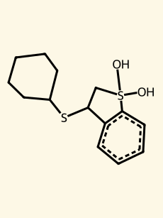 OS1(O)CC(SC2CCCCC2)c2ccccc21